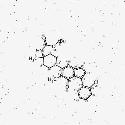 Cn1c(N2CCC(C)(NC(=O)OC(C)(C)C)CC2)nc2scc(-c3ccccc3Cl)c2c1=O